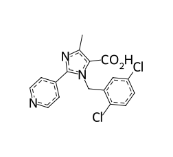 Cc1nc(-c2ccncc2)n(Cc2cc(Cl)ccc2Cl)c1C(=O)O